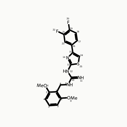 COc1cccc(OC)c1CNC(=N)Nc1nc(-c2ccc(F)c(F)c2)cs1